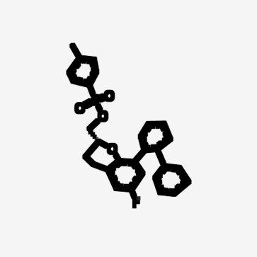 Cc1ccc(S(=O)(=O)OC[C@H]2CCc3cc(F)cc(-c4ccccc4-c4ccccc4)c3O2)cc1